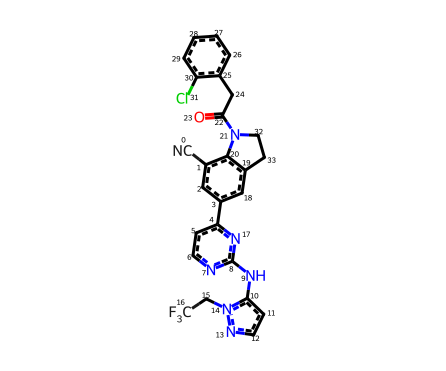 N#Cc1cc(-c2ccnc(Nc3ccnn3CC(F)(F)F)n2)cc2c1N(C(=O)Cc1ccccc1Cl)CC2